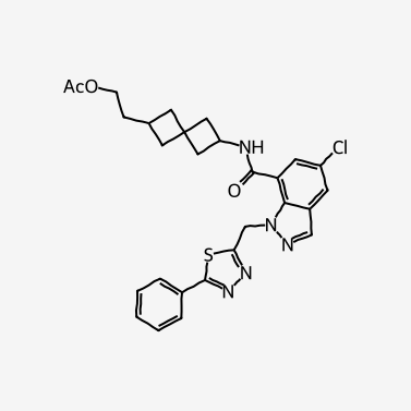 CC(=O)OCCC1CC2(C1)CC(NC(=O)c1cc(Cl)cc3cnn(Cc4nnc(-c5ccccc5)s4)c13)C2